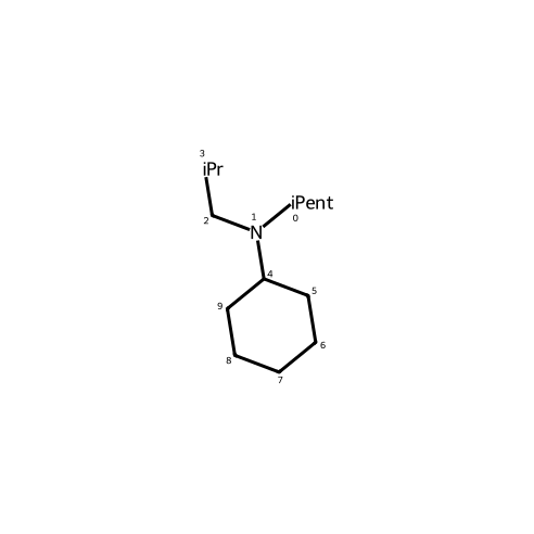 CCCC(C)N(CC(C)C)C1CCCCC1